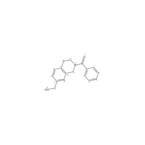 O=C(c1ccccc1)N1CCc2ccc(CO)nc2C1